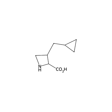 O=C(O)C1NCC1CC1CC1